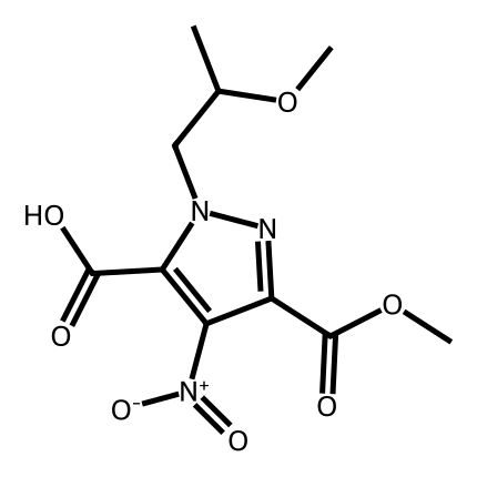 COC(=O)c1nn(CC(C)OC)c(C(=O)O)c1[N+](=O)[O-]